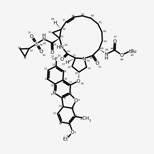 CCOC1=C(C)C2Oc3c(nc4ccc(F)cc4c3O[C@@H]3C[C@H]4C(=O)N[C@]5(C(=O)NS(=O)(=O)C6CC6)C[C@H]5/C=C\CCCCC[C@H](NC(=O)OC(C)(C)C)C(=O)N4C3)C2C=C1